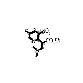 CCOC(=O)/C(=C/N(C)C)c1ncc(C)cc1[N+](=O)[O-]